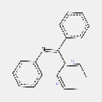 C/C=C\C(=C/C)C(=Nc1ccccc1)c1ccccc1